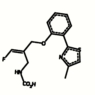 Cc1csc(-c2ccccc2OCC(=CF)CNC(=O)O)n1